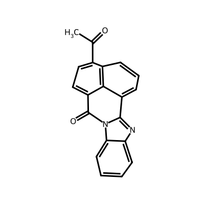 CC(=O)c1ccc2c(=O)n3c4ccccc4nc3c3cccc1c23